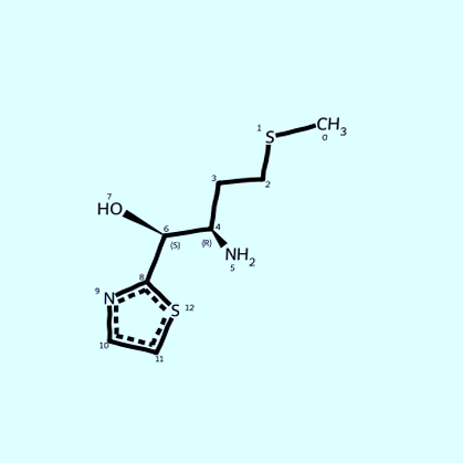 CSCC[C@@H](N)[C@H](O)c1nccs1